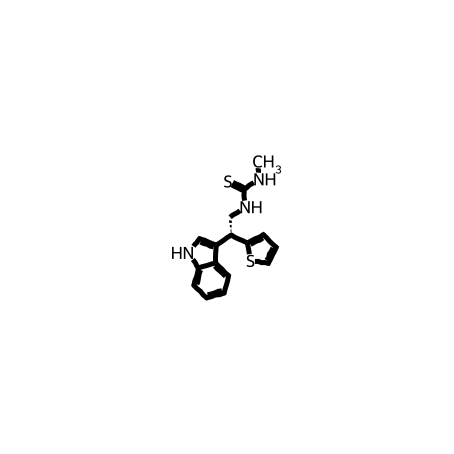 CNC(=S)NC[C@H](c1cccs1)c1c[nH]c2ccccc12